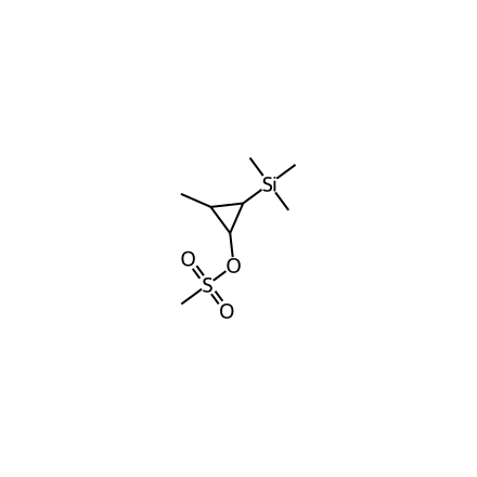 CC1C(OS(C)(=O)=O)C1[Si](C)(C)C